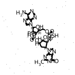 Cc1nc2c(ncn2[C@@H]2C[C@@H]3OP(=O)(S)[C@H]4[C@@H](F)[C@H](n5cnc6c(N)ncnc65)O[C@@H]4COP(=O)(S)O[C@@H]2[C@@H]3O)c(=O)[nH]1